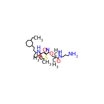 CCC1CCCCC(CCC(C)NC(=O)c2onc(OCC(C)(C)C(=O)NCCCN)c2SC(C)C)C1